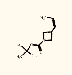 C/C=C\C1CN(C(=O)OC(C)(C)C)C1